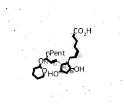 CCCCC[C@@H](/C=C/[C@@H]1[C@@H](C/C=C\CCCC(=O)O)[C@@H](O)C[C@H]1O)OC1CCCCO1